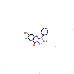 CCCC(c1nc2cc(Br)c(F)cc2c(=O)n1CC)N1CCCNCC1